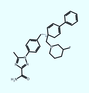 Cc1nc(C(N)=O)nn1-c1ccc(C[C@]2(CN3CCCC(F)C3)C=CC(c3ccccc3)=CC2)cc1